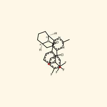 Cc1nc(-c2ccc(F)cc2)c2c(n1)[C@@H]1CCC[C@H](C2)N1C(=O)c1ccnc(C(F)(F)F)c1Cl